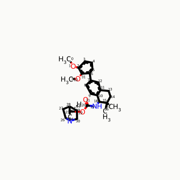 COc1cccc(-c2ccc3c(c2)CCC(C)(C)C3NC(=O)O[C@H]2CN3CCC2CC3)c1OC